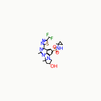 Cc1nc(-c2nnc(C(F)F)s2)c2cc(S(=O)(=O)NC3(C)CC3)cc(N3CC(O)CC3(C)C)c2n1